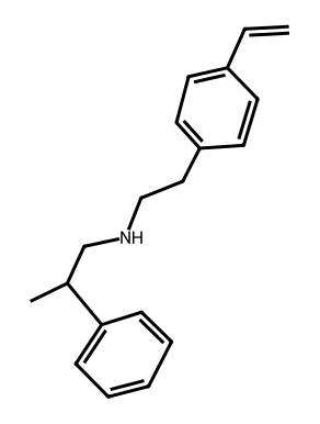 C=Cc1ccc(CCNCC(C)c2ccccc2)cc1